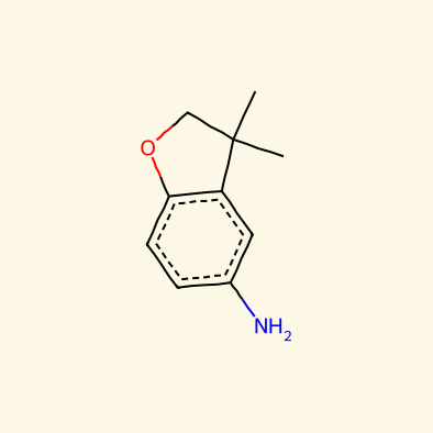 CC1(C)COc2ccc(N)cc21